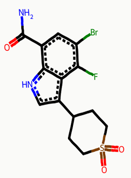 NC(=O)c1cc(Br)c(F)c2c(C3CCS(=O)(=O)CC3)c[nH]c12